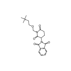 C[Si](C)(C)CCOCN1C(=O)CCC(N2C(=O)c3ccccc3C2=O)C1=O